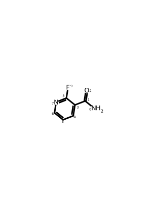 NC(=O)c1cccnc1F